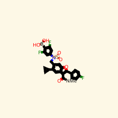 CNC(=O)c1c(-c2ccc(F)cc2)oc2cc(CN(c3cc(F)c(B(O)O)c(F)c3)[SH](=O)=O)c(C3CC3)cc12